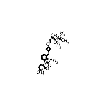 CN(CCO[C@H]1C[C@H](Cc2cccc3c2n(C)c(=O)n3C2CCC(=O)NC2=O)C1)C(=O)OC(C)(C)C